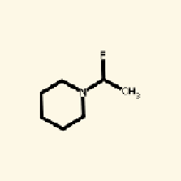 CC(F)N1CCCCC1